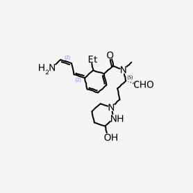 CCC1C(C(=O)N(C)[C@H](C=O)CCN2CCCC(O)N2)=CC=C/C1=C/C=C\N